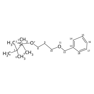 CC(C)(C)[Si](C)(C)OCCCOCc1ccccc1